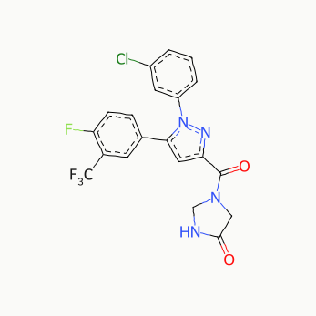 O=C1CN(C(=O)c2cc(-c3ccc(F)c(C(F)(F)F)c3)n(-c3cccc(Cl)c3)n2)CN1